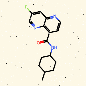 CC1CCC(NC(=O)c2ccnc3cc(F)cnc23)CC1